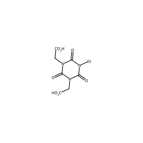 CCn1c(=O)n(CC(=O)O)c(=O)n(CC(=O)O)c1=O